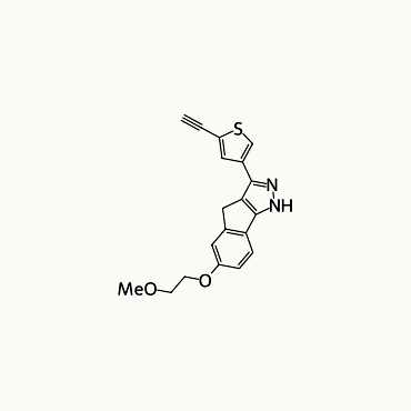 C#Cc1cc(-c2n[nH]c3c2Cc2cc(OCCOC)ccc2-3)cs1